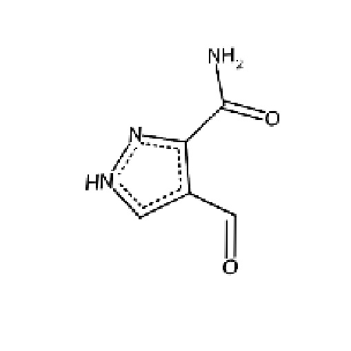 NC(=O)c1n[nH]cc1C=O